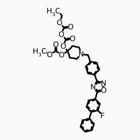 CCOC(=O)OC(=O)OC1(OC(=O)OC)CCN(Cc2ccc(-c3noc(-c4ccc(-c5ccccc5)c(F)c4)n3)cc2)CC1